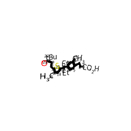 CCC(CC)(c1ccc(CCC(=O)O)c(C)c1)c1cc(C)c(CCC(=O)C(C)(C)C)s1